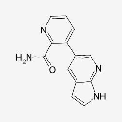 NC(=O)c1ncccc1-c1cnc2[nH]ccc2c1